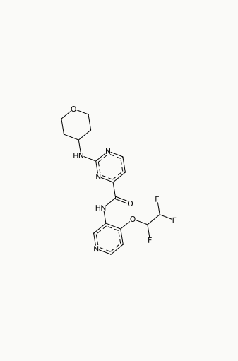 O=C(Nc1cnccc1OC(F)C(F)F)c1ccnc(NC2CCOCC2)n1